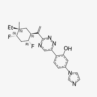 C=C(c1ncc(-c2ccc(-n3ccnc3)cc2O)nn1)[C@@H]1C[C@](C)(CC)[C@@H](F)C[C@H]1F